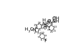 Cn1cc(-c2ccc(F)cc2)c2cc(NS(=O)(=O)c3ccccc3C(=O)NO)ccc21